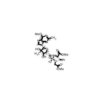 COC(=O)COP(=O)(N[C@@H](CC(C)C)C(=O)OC)OC[C@H]1O[C@@H](n2cnc3c(OC)nc(C)nc32)[C@@](C)(O)C1O